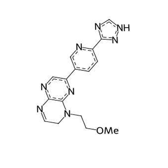 COCCN1CC=Nc2ncc(-c3ccc(-c4nc[nH]n4)nc3)nc21